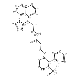 O=C(CCCN1CCNC(C(F)(F)F)C1c1ccccc1)NCCC(c1cccs1)c1cccc2ccccc12